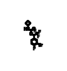 O=C(NC1CCC1)OC(c1ccc(F)c(Br)c1)C(F)(F)F